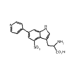 NC(Cc1c[nH]c2cc(-c3ccncc3)cc([N+](=O)[O-])c12)C(=O)O